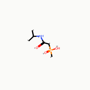 CC(C)NC(=O)CP(C)(=O)O